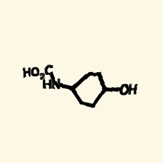 O=C(O)NC1CCC(O)CC1